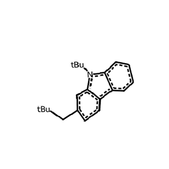 CC(C)(C)Cc1ccc2c3ccccc3n(C(C)(C)C)c2c1